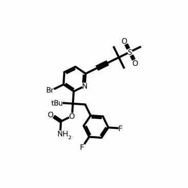 CC(C)(C)C(Cc1cc(F)cc(F)c1)(OC(N)=O)c1nc(C#CC(C)(C)S(C)(=O)=O)ccc1Br